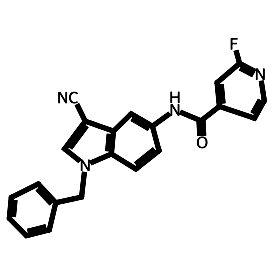 N#Cc1cn(Cc2ccccc2)c2ccc(NC(=O)c3ccnc(F)c3)cc12